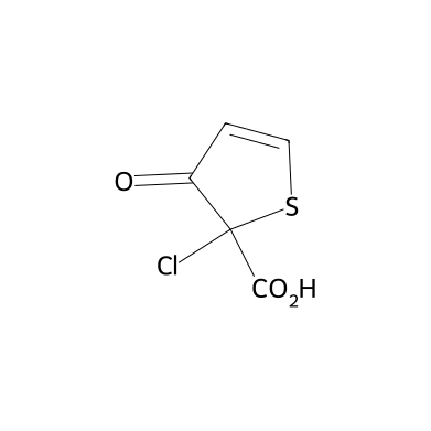 O=C(O)C1(Cl)SC=CC1=O